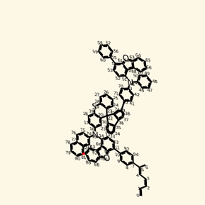 C=C/C=C\C=C(/C)c1ccc(-c2ccc(N(c3ccc4c(c3)C3(c5ccccc5S4)c4ccccc4-c4ccc(-c5ccc(N(c6ccccc6)c6ccc(-c7ccccc7)c7oc8ccccc8c67)cc5)cc43)c3ccc4ccccc4c3)c3c2oc2ccccc23)cc1